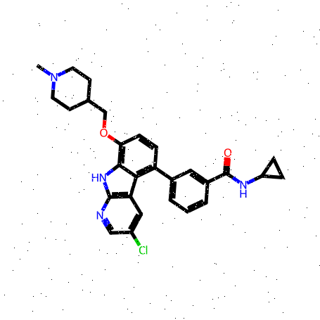 CN1CCC(COc2ccc(-c3cccc(C(=O)NC4CC4)c3)c3c2[nH]c2ncc(Cl)cc23)CC1